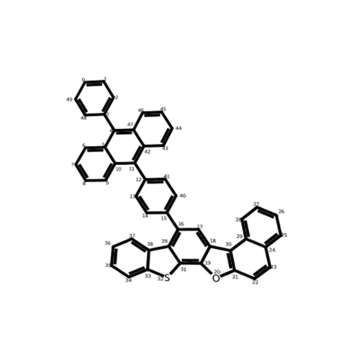 c1ccc(-c2c3ccccc3c(-c3ccc(-c4cc5c(oc6ccc7ccccc7c65)c5sc6ccccc6c45)cc3)c3ccccc23)cc1